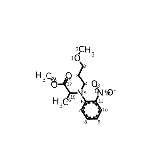 COCCCN(c1ccccc1[N+](=O)[O-])C(C)C(=O)OC